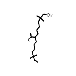 CCC(C)(C)CCCCC(CCCCC(C)(C)CO)C(C)=O